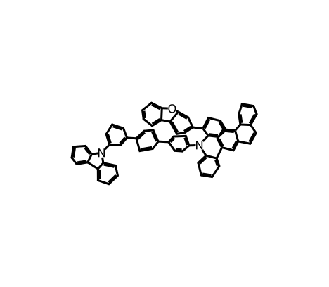 c1cc(-c2ccc(-c3ccc(N(c4ccccc4-c4ccc5c(ccc6ccccc65)c4)c4ccccc4-c4ccc5c(c4)oc4ccccc45)cc3)cc2)cc(-n2c3ccccc3c3ccccc32)c1